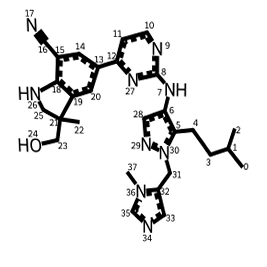 CC(C)CCc1c(Nc2nccc(-c3cc(C#N)c4c(c3)C(C)(CO)CN4)n2)cnn1Cc1cncn1C